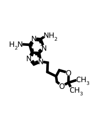 CC1(C)OCC(CCn2cnc3c(N)nc(N)nc32)CO1